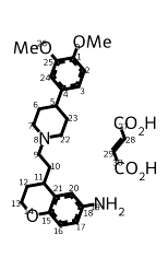 COc1ccc(C2CCN(CCC3CCOc4ccc(N)cc43)CC2)cc1OC.O=C(O)/C=C/C(=O)O